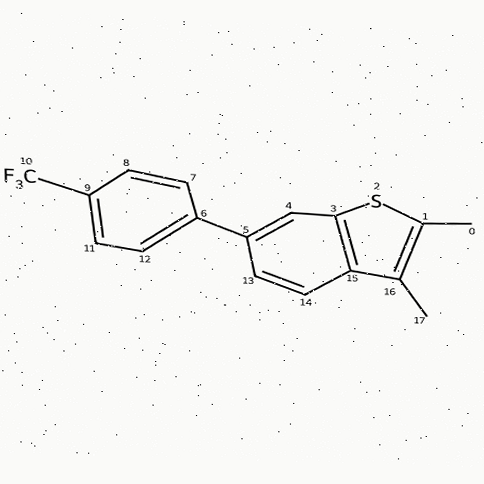 Cc1sc2cc(-c3ccc(C(F)(F)F)cc3)ccc2c1C